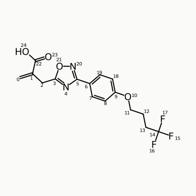 C=C(Cc1nc(-c2ccc(OCCCC(F)(F)F)cc2)no1)C(=O)O